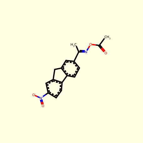 CC(=O)O/N=C(\C)c1ccc2c(c1)Cc1cc([N+](=O)[O-])ccc1-2